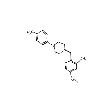 [CH2]c1ccc(N2CCN(Cc3ccc(C)cc3C)CC2)cc1